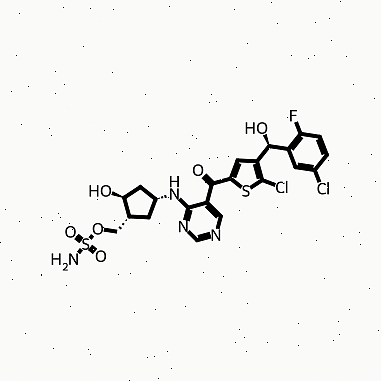 NS(=O)(=O)OC[C@H]1C[C@@H](Nc2ncncc2C(=O)c2cc([C@@H](O)c3cc(Cl)ccc3F)c(Cl)s2)C[C@@H]1O